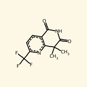 CC1(C)C(=O)NC(=O)c2ccc(C(F)(F)F)nc21